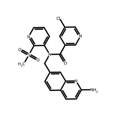 CS(=O)(=O)c1ncccc1N(Cc1ccc2ccc(N)nc2c1)C(=O)c1cncc(Cl)c1